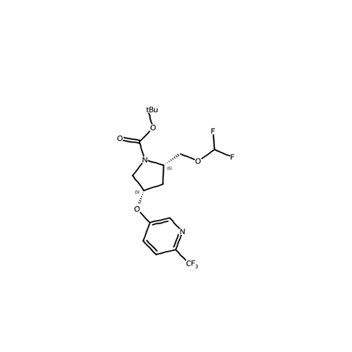 CC(C)(C)OC(=O)N1C[C@@H](Oc2ccc(C(F)(F)F)nc2)C[C@H]1COC(F)F